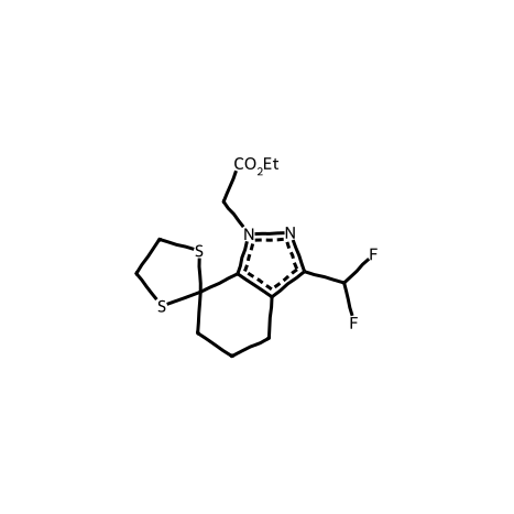 CCOC(=O)Cn1nc(C(F)F)c2c1C1(CCC2)SCCS1